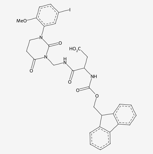 COc1ccc(I)cc1N1CCC(=O)N(CNC(=O)C(CC(=O)O)NC(=O)OCC2c3ccccc3-c3ccccc32)C1=O